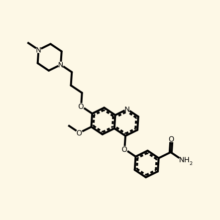 COc1cc2c(Oc3cccc(C(N)=O)c3)ccnc2cc1OCCCN1CCN(C)CC1